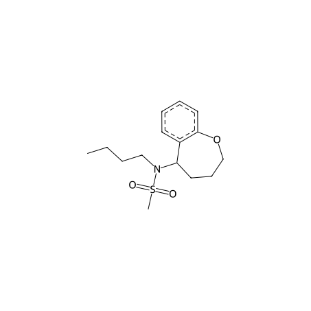 CCCCN(C1CCCOc2ccccc21)S(C)(=O)=O